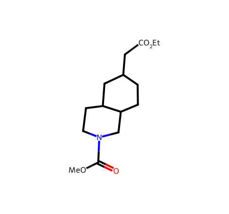 CCOC(=O)CC1CCC2CN(C(=O)OC)CCC2C1